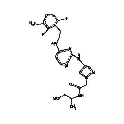 Cc1ccc(F)c(CNc2ccnc(Nc3cnn(CC(=O)NC(C)CO)c3)n2)c1F